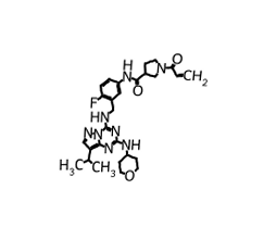 C=CC(=O)N1CCC(C(=O)Nc2ccc(F)c(CNc3nc(NC4CCOCC4)nc4c(C(C)C)cnn34)c2)C1